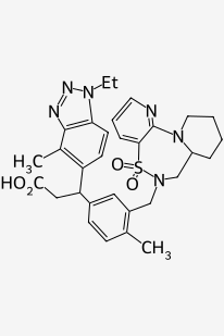 CCn1nnc2c(C)c(C(CC(=O)O)c3ccc(C)c(CN4CC5CCCCN5c5ncccc5S4(=O)=O)c3)ccc21